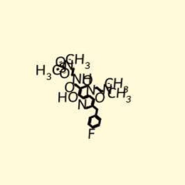 CN(C)C(=O)Cn1c(=O)c(C(=O)NCCN(C)S(C)(=O)=O)c(O)c2ncc(Cc3ccc(F)cc3)cc21